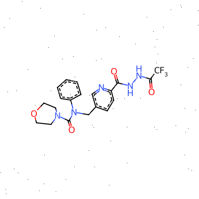 O=C(NNC(=O)C(F)(F)F)c1ccc(CN(C(=O)N2CCOCC2)c2ccccc2)cn1